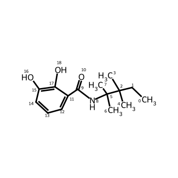 CCC(C)(C)C(C)(C)NC(=O)c1cccc(O)c1O